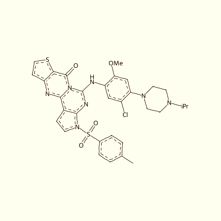 COc1cc(N2CCN(C(C)C)CC2)c(Cl)cc1Nc1nc2c(ccn2S(=O)(=O)c2ccc(C)cc2)c2nc3ccsc3c(=O)n12